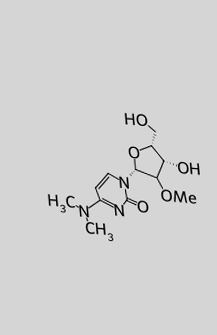 COC1[C@@H](O)[C@@H](CO)O[C@H]1n1ccc(N(C)C)nc1=O